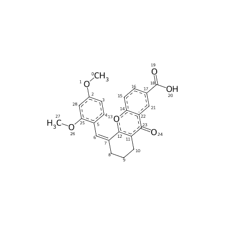 COc1ccc(/C=C2/CCCc3c2oc2ccc(C(=O)O)cc2c3=O)c(OC)c1